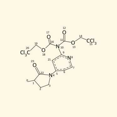 CC1CCN(c2ccnc(N(C(=O)OCC(Cl)(Cl)Cl)C(=O)OCC(Cl)(Cl)Cl)c2)C1=O